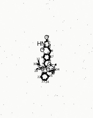 C[SiH](OC(Cc1ccc(C=C2SC(=O)NC2=O)cc1)(Oc1ccccc1)O[SiH](C)C(C)(C)C)C(C)(C)C